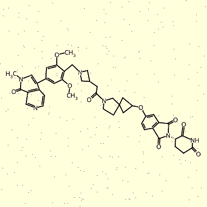 COc1cc(-c2cn(C)c(=O)c3cnccc23)cc(OC)c1CN1CC(CC(=O)N2CCC3(CC(Oc4ccc5c(c4)C(=O)N([C@H]4CCC(=O)NC4=O)C5=O)C3)C2)C1